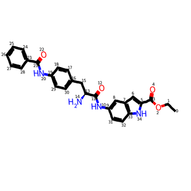 CCOC(=O)c1cc2cc(NC(=O)[C@@H](N)Cc3ccc(NC(=O)c4ccccc4)cc3)ccc2[nH]1